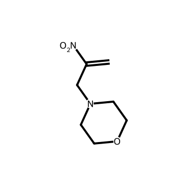 C=C(CN1CCOCC1)[N+](=O)[O-]